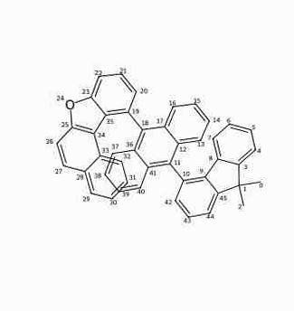 CC1(C)c2ccccc2-c2c(-c3c4ccccc4c(-c4cccc5oc6ccc7ccccc7c6c45)c4ccccc34)cccc21